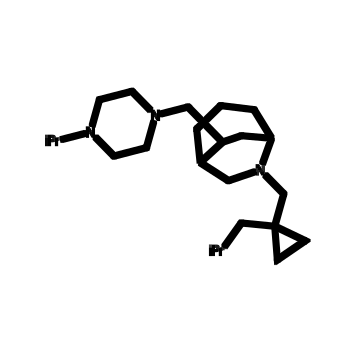 CC(C)CC1(CN2CC3CCCC2CC3CN2CCN(C(C)C)CC2)CC1